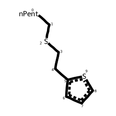 CCCCCCSCCc1cc[c]s1